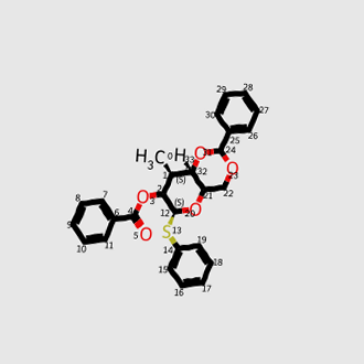 C[C@@H]1C(OC(=O)c2ccccc2)[C@H](Sc2ccccc2)OC2COC(c3ccccc3)O[C@H]21